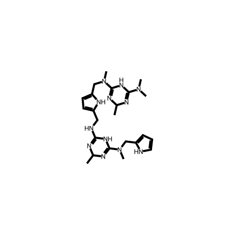 CC1N=C(NCc2ccc(CN(C)C3=NC(C)N=C(N(C)C)N3)[nH]2)NC(N(C)Cc2ccc[nH]2)=N1